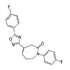 O=C1CC(c2noc(-c3ccc(F)cc3)n2)CCCN1c1ccc(F)cc1